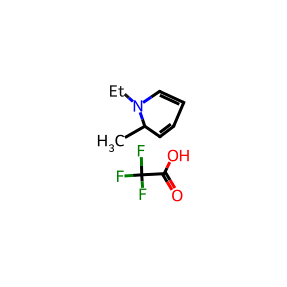 CCN1C=CC=CC1C.O=C(O)C(F)(F)F